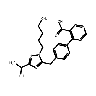 CCCCCn1nc(C(C)C)nc1Cc1ccc(-c2ccncc2C(=O)O)cc1